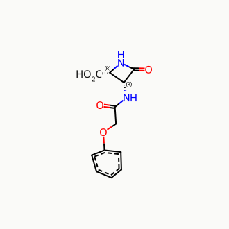 O=C(COc1ccccc1)N[C@H]1C(=O)N[C@H]1C(=O)O